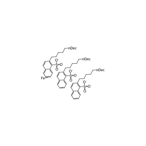 CCCCCCCCCCCCCCCc1ccc2ccccc2c1S(=O)(=O)[O-].CCCCCCCCCCCCCCCc1ccc2ccccc2c1S(=O)(=O)[O-].CCCCCCCCCCCCCCCc1ccc2ccccc2c1S(=O)(=O)[O-].[Fe+3]